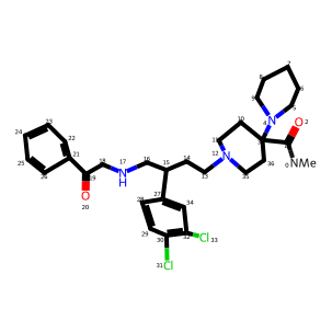 CNC(=O)C1(N2CCCCC2)CCN(CCC(CNCC(=O)c2ccccc2)c2ccc(Cl)c(Cl)c2)CC1